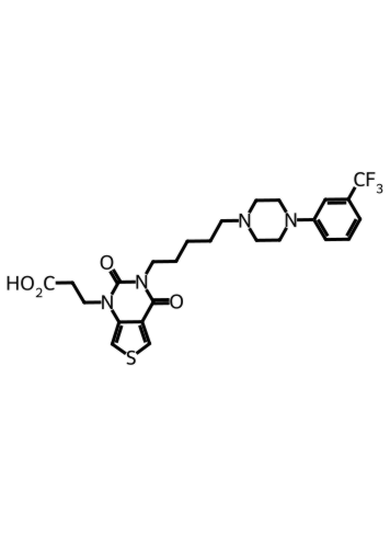 O=C(O)CCn1c(=O)n(CCCCCN2CCN(c3cccc(C(F)(F)F)c3)CC2)c(=O)c2cscc21